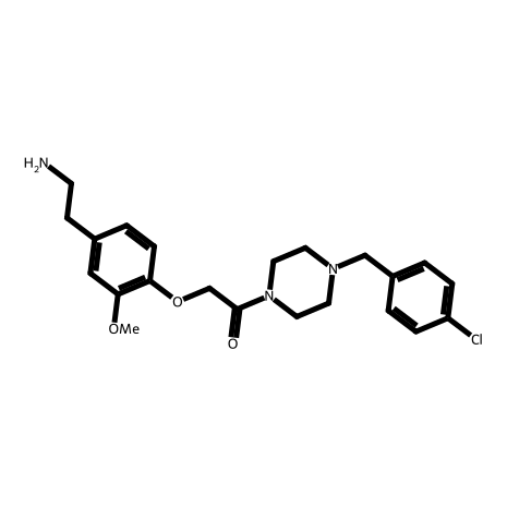 COc1cc(CCN)ccc1OCC(=O)N1CCN(Cc2ccc(Cl)cc2)CC1